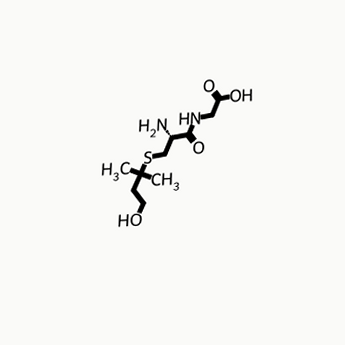 CC(C)(CCO)SC[C@H](N)C(=O)NCC(=O)O